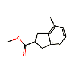 COC(=O)C1Cc2cccc(C)c2C1